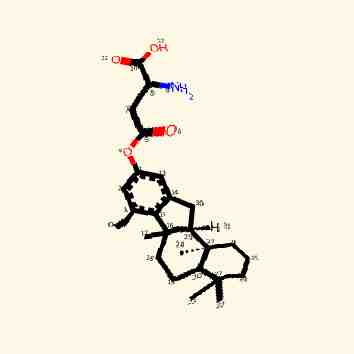 Cc1cc(OC(=O)CC(N)C(=O)O)cc2c1C1(C)CCC3C(C)(C)CCC[C@]3(C)[C@H]1C2